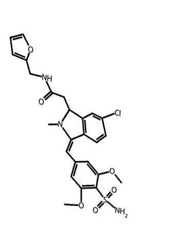 COc1cc(/C=C2\c3ccc(Cl)cc3C(CC(=O)NCc3ccco3)N2C)cc(OC)c1S(N)(=O)=O